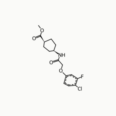 COC(=O)[C@H]1CC[C@@H](NC(=O)COc2ccc(Cl)c(F)c2)CC1